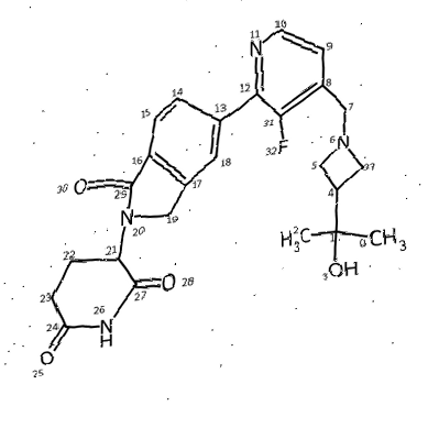 CC(C)(O)C1CN(Cc2ccnc(-c3ccc4c(c3)CN(C3CCC(=O)NC3=O)C4=O)c2F)C1